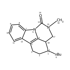 CCCCN1CCc2c3n(c4ccccc24)C(=O)N(C)CC31